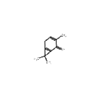 CC1=CCC2=C(C1=[Se])C2(C)C